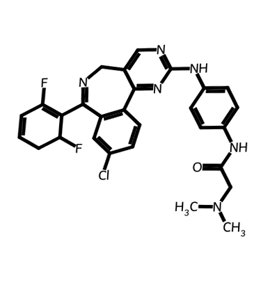 CN(C)CC(=O)Nc1ccc(Nc2ncc3c(n2)-c2ccc(Cl)cc2C(C2=C(F)C=CCC2F)=NC3)cc1